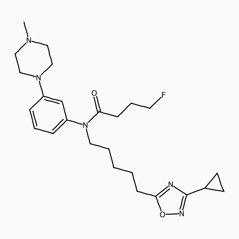 CN1CCN(c2cccc(N(CCCCCc3nc(C4CC4)no3)C(=O)CCCF)c2)CC1